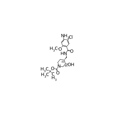 COc1cc(N)c(Cl)cc1C(=O)NC[C@@H]1CCN(C(=O)OC(C)(C)C)C[C@@H]1O